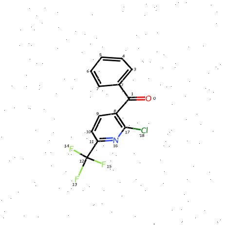 O=C(c1ccccc1)c1ccc(C(F)(F)F)nc1Cl